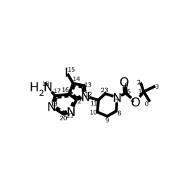 CC(C)(C)OC(=O)N1CCCC(n2cc(I)c3c(N)ncnc32)C1